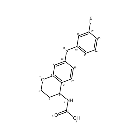 O=C(O)NC1CCOc2cc(Sc3cccc(F)c3)ccc21